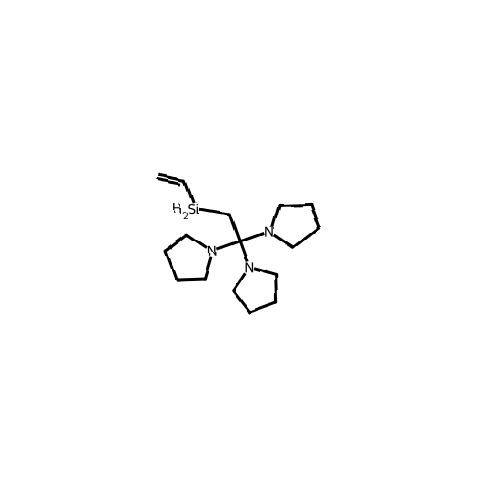 C=C[SiH2]CC(N1CCCC1)(N1CCCC1)N1CCCC1